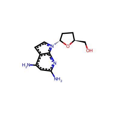 Nc1cc(N)c2ccn([C@@H]3CC[C@@H](CO)O3)c2n1